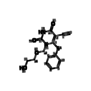 C#Cc1c(Sc2ccccc2)n(COCCO)c(=O)[nH]c1=O